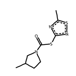 Cc1nc(SC(=O)N2CCC(C)C2)ns1